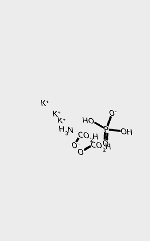 N.O=C([O-])O.O=C([O-])O.O=P([O-])(O)O.[K+].[K+].[K+]